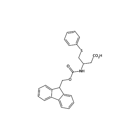 O=C(O)CC(CSc1ccccc1)NC(=O)OCC1c2ccccc2-c2ccccc21